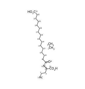 CC.CC(=O)CCC(=NC(=O)CCCCCCCCCCCCCCC(=O)O)C(=O)O